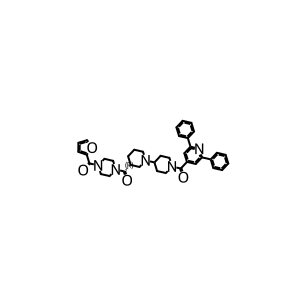 O=C(c1cc(-c2ccccc2)nc(-c2ccccc2)c1)N1CCC(N2CCC[C@@H](C(=O)N3CCN(C(=O)c4ccco4)CC3)C2)CC1